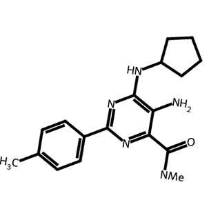 CNC(=O)c1nc(-c2ccc(C)cc2)nc(NC2CCCC2)c1N